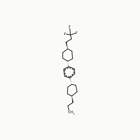 CCC[C@H]1CC[C@H](c2ccc([C@H]3CC[C@H](CCC(F)(F)F)CC3)cc2)CC1